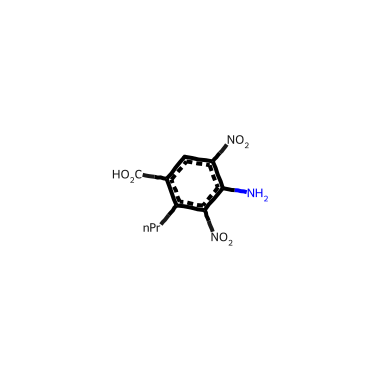 CCCc1c(C(=O)O)cc([N+](=O)[O-])c(N)c1[N+](=O)[O-]